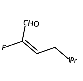 CC(C)C/C=C(/F)C=O